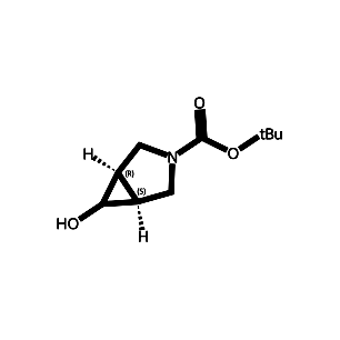 CC(C)(C)OC(=O)N1C[C@@H]2C(O)[C@@H]2C1